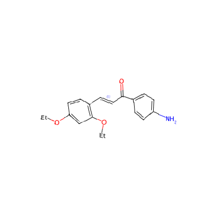 CCOc1ccc(/C=C/C(=O)c2ccc(N)cc2)c(OCC)c1